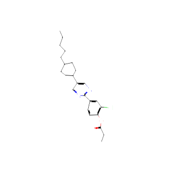 CCCCCC1CCC(c2cnc(-c3ccc(OC(=O)CC)c(Cl)c3)nc2)CC1